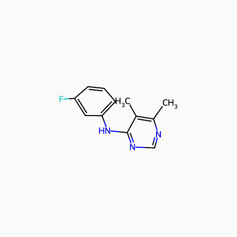 Cc1ncnc(Nc2cccc(F)c2)c1C